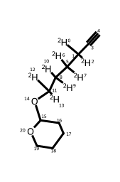 [2H]C([2H])(C#C)C([2H])([2H])C([2H])([2H])C([2H])([2H])OC1CCCCO1